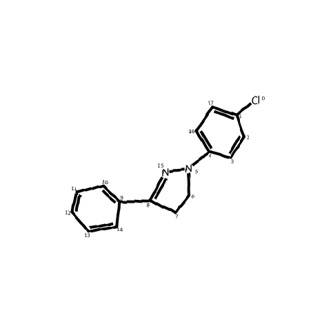 Clc1ccc(N2CCC(c3ccccc3)=N2)cc1